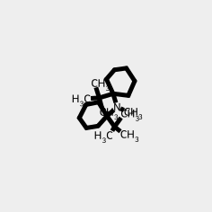 CN(C1(C(C)(C)C)CCCCC1)C1(C(C)(C)C)CCCCC1